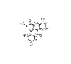 CCCN(C(=O)OC(C)(C)C)c1nc2c(F)cc(F)cc2c(=O)n1-c1cc(F)cc(F)c1